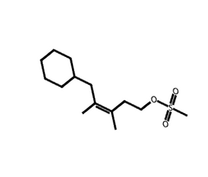 C/C(CCOS(C)(=O)=O)=C(\C)CC1CCCCC1